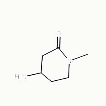 CN1CCC(N)CC1=O